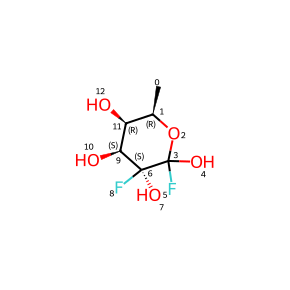 C[C@H]1OC(O)(F)[C@@](O)(F)[C@@H](O)[C@H]1O